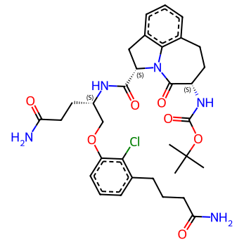 CC(C)(C)OC(=O)N[C@H]1CCc2cccc3c2N(C1=O)[C@H](C(=O)N[C@@H](CCC(N)=O)COc1cccc(CCCC(N)=O)c1Cl)C3